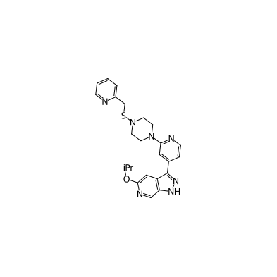 CC(C)Oc1cc2c(-c3ccnc(N4CCN(SCc5ccccn5)CC4)c3)n[nH]c2cn1